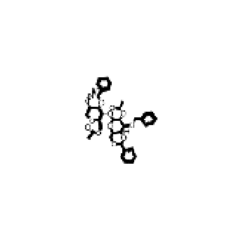 CC(=O)OCC1OCC(N=[N+]=[N-])C(OCc2ccccc2)[C@@H]1OC1OC2COC(c3ccccc3)O[C@H]2C(OCc2ccccc2)C1OC(C)=O